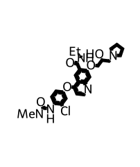 CCNC(=O)c1cc2c(Oc3ccc(NC(=O)NC)c(Cl)c3)ccnc2cc1OC[C@@H](O)CN1CCCC1